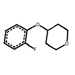 Fc1cc[c]cc1OC1CCOCC1